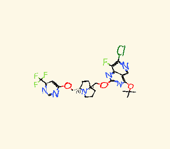 CC(C)(C)Oc1nc(OC[C@@]23CCCN2[C@H](COc2cc(C(F)(F)F)ncn2)CC3)nc2c(F)c(Cl)ncc12